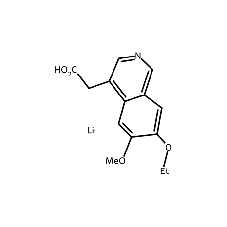 CCOc1cc2cncc(CC(=O)O)c2cc1OC.[Li]